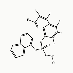 O=P(O[I+][O-])(Oc1cccc2ccccc12)Oc1c(F)c(F)c(F)c2c(F)c(F)c(F)cc12